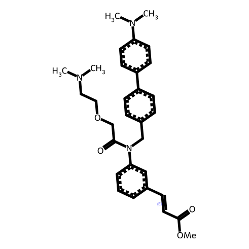 COC(=O)/C=C/c1cccc(N(Cc2ccc(-c3ccc(N(C)C)cc3)cc2)C(=O)COCCN(C)C)c1